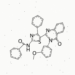 COc1cccc(-n2c(-c3sc(NC(=O)c4ccccc4)nc3-c3ccccc3)nc3ccccc3c2=O)c1